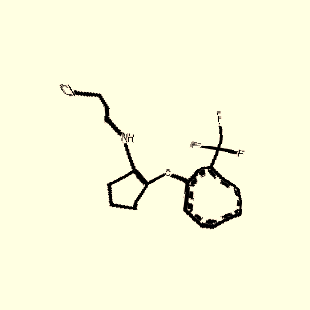 FC(F)(F)c1ccccc1OC1CCCC1NCCCl